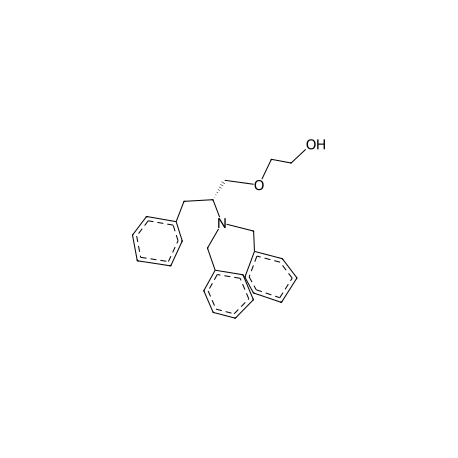 OCCOC[C@@H](Cc1ccccc1)N(Cc1ccccc1)Cc1ccccc1